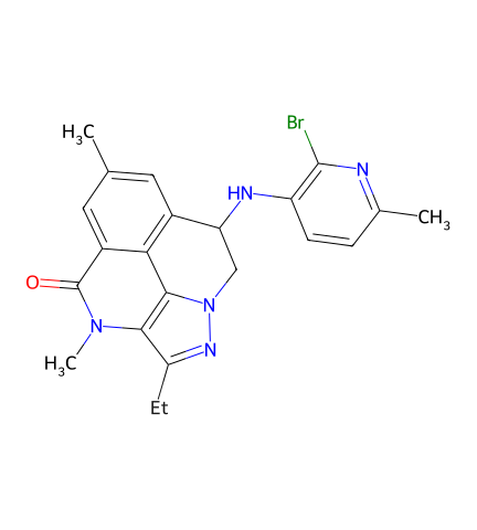 CCc1nn2c3c4c(cc(C)cc4c(=O)n(C)c13)C(Nc1ccc(C)nc1Br)C2